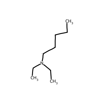 CCCC[CH]N(CC)CC